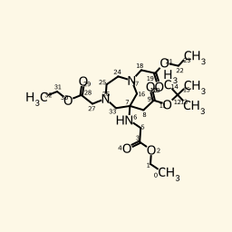 CCOC(=O)CNC1(CC(=O)OC(C)(C)C)CN(CC(=O)OCC)CCN(CC(=O)OCC)C1